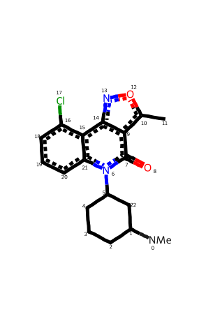 CNC1CCCC(n2c(=O)c3c(C)onc3c3c(Cl)cccc32)C1